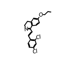 CCCOc1ccc2c(c1)CCN=C2C=Cc1ccc(Cl)cc1Cl